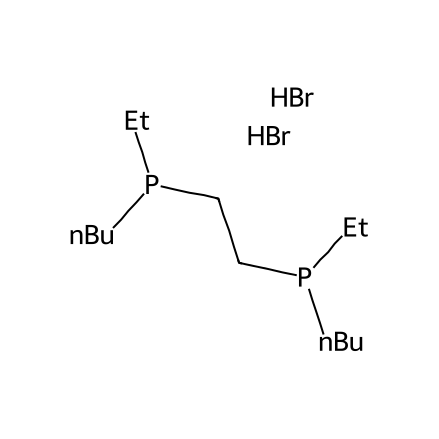 Br.Br.CCCCP(CC)CCP(CC)CCCC